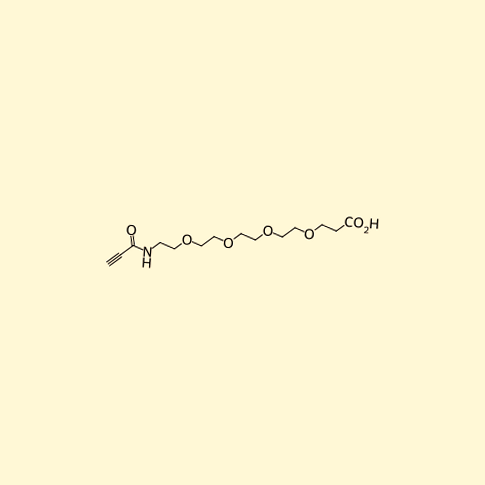 C#CC(=O)NCCOCCOCCOCCOCCC(=O)O